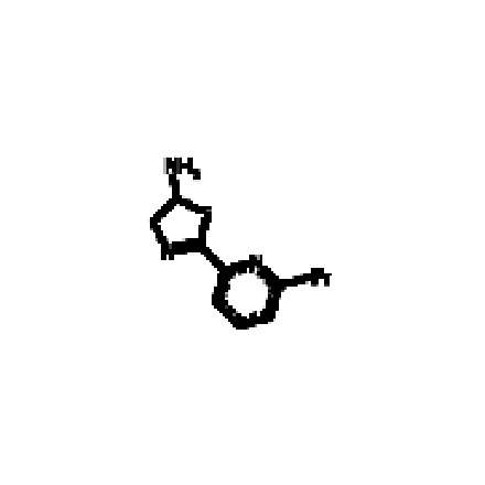 CC(C)c1cccc(C2=NCC(N)S2)n1